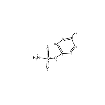 [CH2]c1ccc(OS(N)(=O)=O)cc1